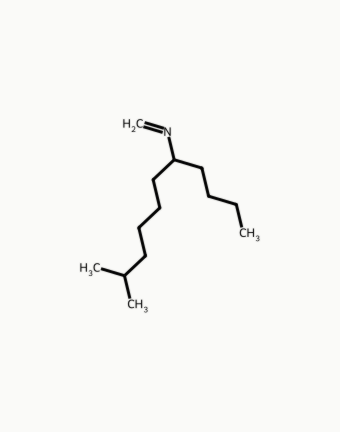 C=NC(CCCC)CCCCC(C)C